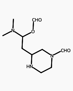 CN(C)C(CC1CN(C=O)CCN1)OC=O